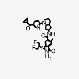 Cc1cc(C(N)=O)c(NC(CF)CF)cc1C(=O)NC1CC2CCCN(c3ccc(C(=O)C4CC4)cn3)C2C1